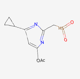 CC(=O)Oc1cc(C2CC2)nc(C[SH](=O)=O)n1